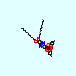 CCCCCCCCCCCCOc1cc2nc3ccc(N(S(=O)(=O)c4ccc(C)cc4)S(=O)(=O)c4ccc(C)cc4)cc3nc2cc1OCCCCCCCCCCCC